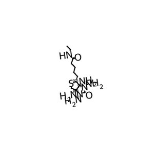 CCNC(=O)CCCC[C@@H]1SC[C@]2(N)N(N)C(=O)N(N)[C@]12N